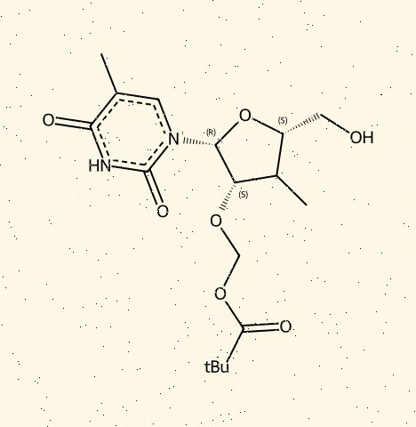 Cc1cn([C@@H]2O[C@H](CO)C(C)[C@@H]2OCOC(=O)C(C)(C)C)c(=O)[nH]c1=O